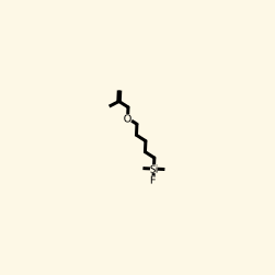 C=C(C)COCCCCC[Si](C)(C)F